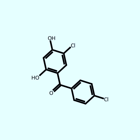 O=C(c1ccc(Cl)cc1)c1cc(Cl)c(O)cc1O